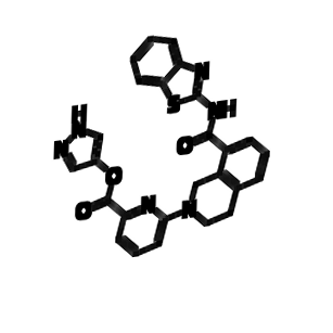 O=C(Oc1cn[nH]c1)c1cccc(N2CCc3cccc(C(=O)Nc4nc5ccccc5s4)c3C2)n1